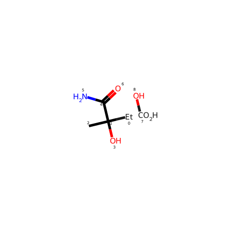 CCC(C)(O)C(N)=O.O=C(O)O